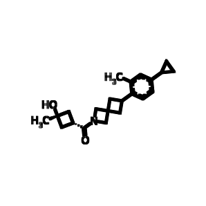 Cc1cc(C2CC2)ccc1C1CC2(C1)CN(C(=O)[C@H]1C[C@@](C)(O)C1)C2